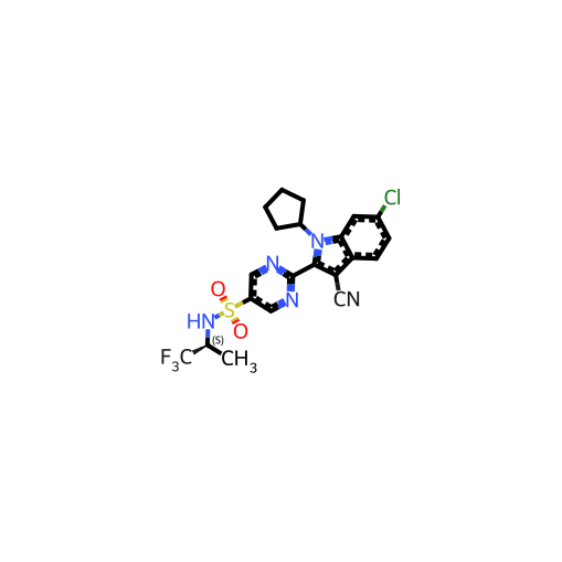 C[C@H](NS(=O)(=O)c1cnc(-c2c(C#N)c3ccc(Cl)cc3n2C2CCCC2)nc1)C(F)(F)F